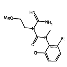 CCc1cccc(Cl)c1N(C)C(=O)N(CCOC)C(=N)N